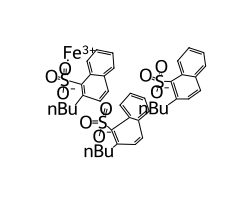 CCCCc1ccc2ccccc2c1S(=O)(=O)[O-].CCCCc1ccc2ccccc2c1S(=O)(=O)[O-].CCCCc1ccc2ccccc2c1S(=O)(=O)[O-].[Fe+3]